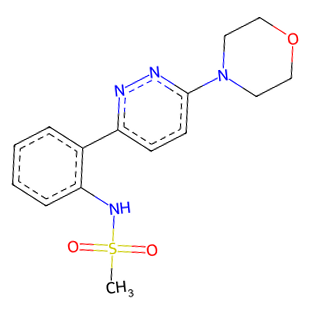 CS(=O)(=O)Nc1ccccc1-c1ccc(N2CCOCC2)nn1